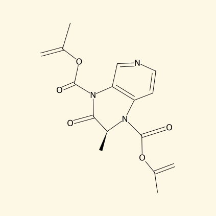 C=C(C)OC(=O)N1C(=O)[C@H](C)N(C(=O)OC(=C)C)c2ccncc21